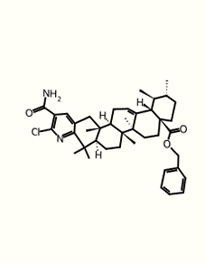 C[C@H]1[C@H](C)CC[C@]2(C(=O)OCc3ccccc3)CC[C@]3(C)C(=CC[C@@H]4[C@@]5(C)Cc6cc(C(N)=O)c(Cl)nc6C(C)(C)[C@@H]5CC[C@]43C)[C@H]12